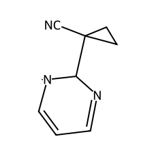 N#CC1(C2[N]C=CC=N2)CC1